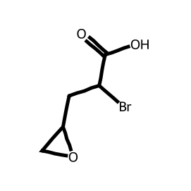 O=C(O)C(Br)CC1CO1